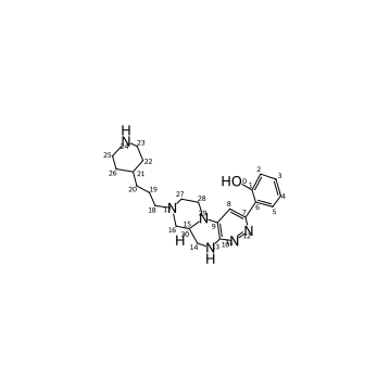 Oc1ccccc1-c1cc2c(nn1)NC[C@H]1CN(CCCC3CCNCC3)CCN21